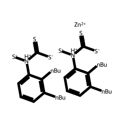 CCCCc1cccc([NH+]([S-])C(=S)[S-])c1CCCC.CCCCc1cccc([NH+]([S-])C(=S)[S-])c1CCCC.[Zn+2]